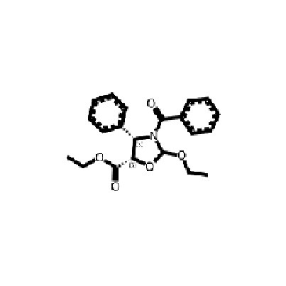 CCOC(=O)[C@H]1OC(OCC)N(C(=O)c2ccccc2)[C@H]1c1ccccc1